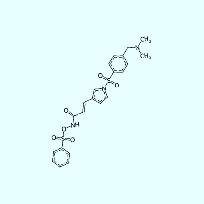 CN(C)Cc1ccc(S(=O)(=O)n2ccc(/C=C/C(=O)NOS(=O)(=O)c3ccccc3)c2)cc1